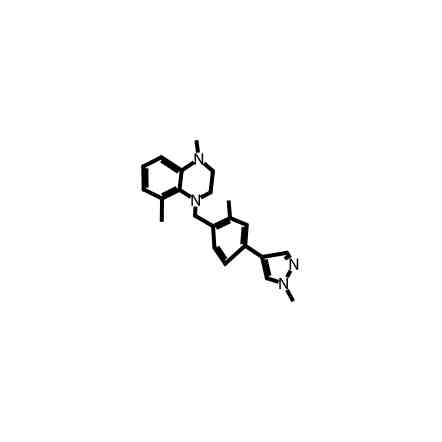 Cc1cc(-c2cnn(C)c2)ccc1CN1CCN(C)c2cccc(C)c21